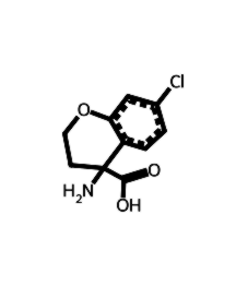 NC1(C(=O)O)CCOc2cc(Cl)ccc21